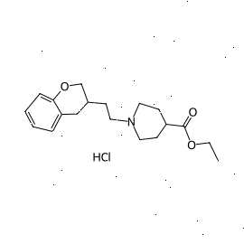 CCOC(=O)C1CCN(CCC2COc3ccccc3C2)CC1.Cl